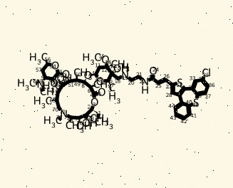 CC[C@H]1OC(=O)[C@H](C)[C@@H](O[C@H]2C[C@@](C)(OC)[C@](O)(CNCCNC(=O)/C=C/c3cc4c(s3)-c3cc(Cl)ccc3Sc3ccccc3-4)[C@H](C)O2)[C@H](C)[C@@H](O[C@@H]2O[C@H](C)C[C@H](N(C)C)[C@H]2O)[C@](C)(O)C[C@@H](C)CN(C)[C@H](C)[C@@H](O)[C@]1(C)O